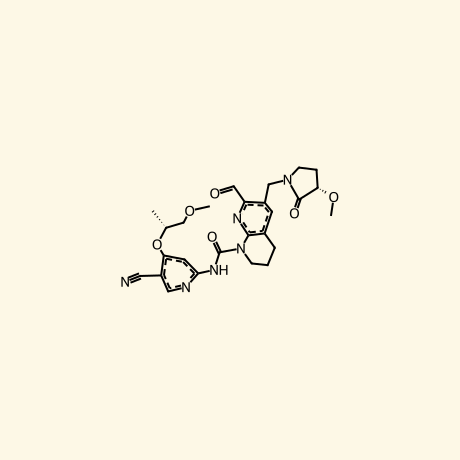 COC[C@@H](C)Oc1cc(NC(=O)N2CCCc3cc(CN4CC[C@H](OC)C4=O)c(C=O)nc32)ncc1C#N